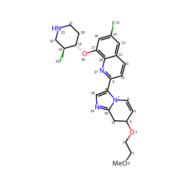 COCCOC1C=Cn2c(-c3ccc4cc(F)cc(O[C@H]5CCNC[C@@H]5F)c4n3)cnc2C1